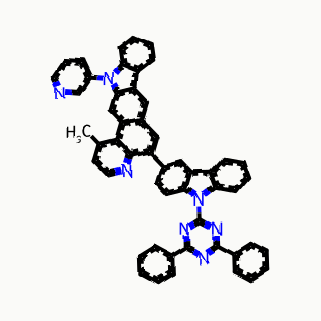 Cc1ccnc2c(-c3ccc4c(c3)c3ccccc3n4-c3nc(-c4ccccc4)nc(-c4ccccc4)n3)cc3cc4c5ccccc5n(-c5cccnc5)c4cc3c12